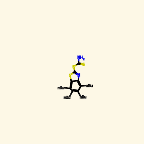 CCCCc1c(CCCC)c(CCCC)c2sc(SC(N)=S)nc2c1CCCC